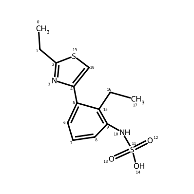 CCc1nc(-c2cccc(NS(=O)(=O)O)c2CC)cs1